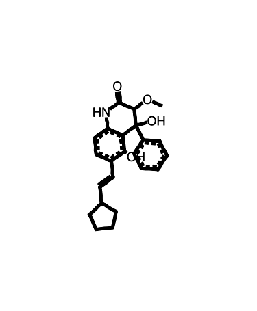 COC1C(=O)Nc2ccc(/C=C/C3CCCC3)c(O)c2C1(O)c1ccccc1